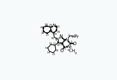 CC(C)Cn1c(=O)n(C)c(=O)c2c(C3CCCCC3)n(Cc3ccnc4ccccc34)nc21